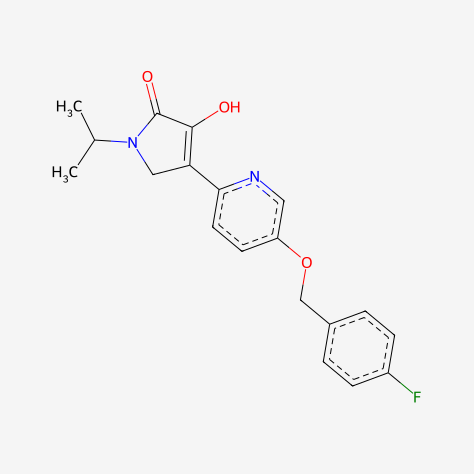 CC(C)N1CC(c2ccc(OCc3ccc(F)cc3)cn2)=C(O)C1=O